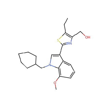 CCc1sc(-c2cn(CC3CCCCC3)c3c(OC)cccc23)nc1CO